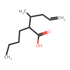 C=CCC(C)C(CCCC)C(=O)O